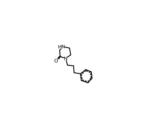 O=C1CNCCN1CCCc1ccccc1